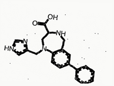 O=C(O)C1CN(Cc2c[nH]cn2)c2ccc(-c3ccccc3)cc2CN1